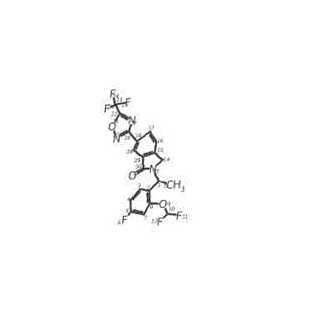 C[C@@H](c1ccc(F)cc1OC(F)F)N1Cc2ccc(-c3noc(C(F)(F)F)n3)cc2C1=O